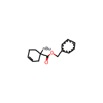 CCCCC1(C(=O)OCc2ccccc2)CC=CCC1